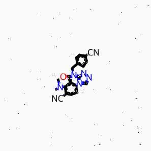 CN(C)c1c(C#N)ccc2c1c(=O)n(Cc1ccc(C#N)cc1)c1nncn21